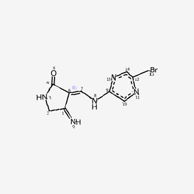 N=C1CNC(=O)/C1=C/Nc1cnc(Br)cn1